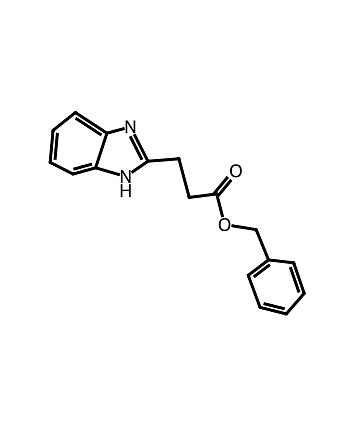 O=C(CCc1nc2ccccc2[nH]1)OCc1ccccc1